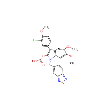 COc1ccc(-c2c(OC(=O)O)n(Cc3ccc4nsnc4c3)c3cc(OC)c(OC)cc23)cc1F